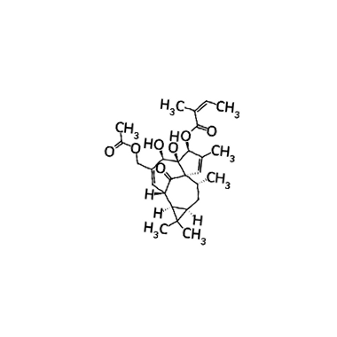 C/C=C(/C)C(=O)O[C@H]1C(C)=C[C@]23C(=O)[C@@H](C=C(COC(C)=O)[C@@H](O)[C@]12O)[C@H]1[C@@H](C[C@H]3C)C1(C)C